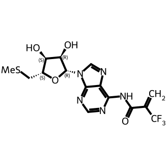 C=C(C(=O)Nc1ncnc2c1ncn2[C@@H]1O[C@H](CSC)[C@@H](O)[C@H]1O)C(F)(F)F